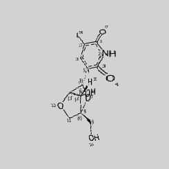 O=c1[nH]c(=O)n([C@@H]2O[C@]3(CO)COC2[C@@H]3O)cc1I